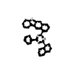 c1ccc(-c2nc(-c3cccc4ccccc34)nc(-c3cccc4cc5sc6ccccc6c5cc34)n2)cc1